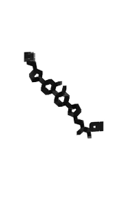 CC/C=C/C1=CC=C(c2ccc(-c3ccc(C4=CC=C(/C=C/C(C)=C(/C)C#N)C4)cc3C)c(C)c2)C1